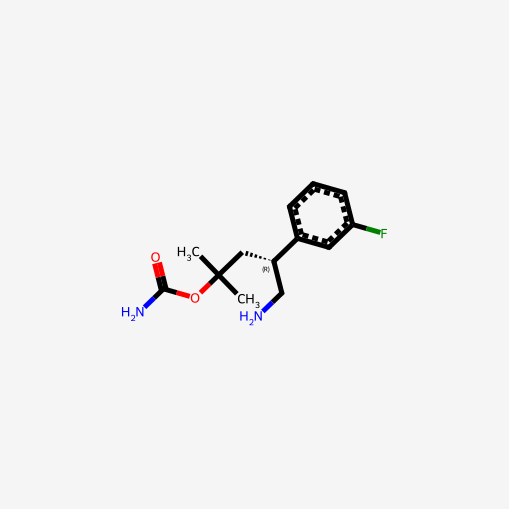 CC(C)(C[C@@H](CN)c1cccc(F)c1)OC(N)=O